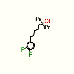 CC(C)[Si](O)(CCCCCc1ccc(F)c(F)c1)C(C)C